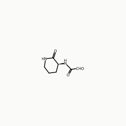 O=CC(=O)N[C@H]1CCCNC1=O